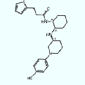 N#Cc1ccc(N2CCC[C@H](N[C@@H]3CCCC[C@H]3NC(=O)CCc3cccs3)C2)cc1